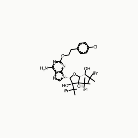 CC(C)C(C)(C)C(O)[C@H]1O[C@@H](n2cnc3c(N)nc(OCCc4ccc(Cl)cc4)nc32)[C@@](O)(C(C)(C)C(C)C)[C@@]1(O)C(C)(C)C(C)C